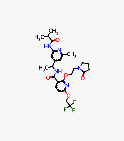 Cc1cc(C(C)NC(=O)c2ccc(OCC(F)(F)F)nc2OCCN2CCCC2=O)cc(NC(=O)C(C)C)n1